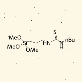 CCCCNC(=S)NCCC[Si](OC)(OC)OC